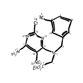 CCOC(=O)CN(Cc1cccc(C#N)c1)c1nc(Cl)nc(N)c1[N+](=O)[O-]